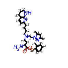 Cc1cc(C)n(CCN(CCCCc2ccc3c(n2)NCCC3)CC[C@H](N)C(=O)OSc2ccccc2C)n1